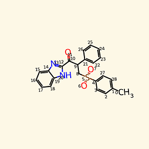 Cc1ccc(S(=O)(=O)CC(C(=O)c2nc3ccccc3[nH]2)c2ccccc2)cc1